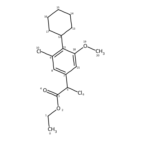 CCOC(=O)C(Cl)c1cc(Cl)c(C2CCCCC2)c(OC)c1